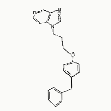 c1ccc(Cc2ccc(OCCCn3cnc4cnccc43)cc2)cc1